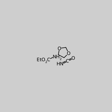 C1COCO1.CCOC(N)=O.N=C=O